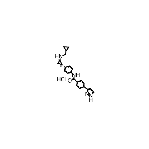 Cl.O=C(Nc1ccc([C@@H]2C[C@H]2NCC2CC2)cc1)c1ccc(-c2cc[nH]n2)cc1